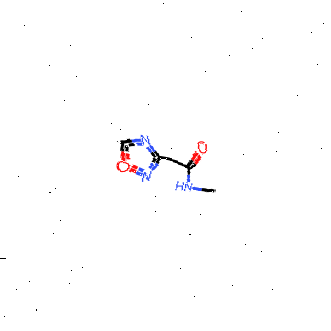 CNC(=O)c1n[c]on1